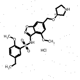 CCc1ccc(OC)c(S(=O)(=O)Nc2noc3cc(CO[C@H]4CCNC4)cc(OC)c23)c1.Cl